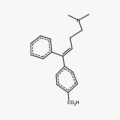 CN(C)CC/C=C(\c1ccccc1)c1ccc(C(=O)O)cc1